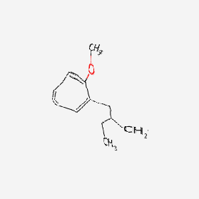 [CH2]C(CC)Cc1ccccc1OC